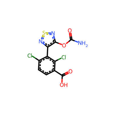 NC(=O)Oc1nsnc1-c1c(Cl)ccc(C(=O)O)c1Cl